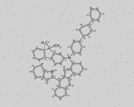 CC1(C)c2ccccc2-c2ccc(N(c3ccc(-c4ccc(-c5ccccc5)cc4)cc3)c3cccc4c3oc3c(-c5nc6ccccc6o5)c5ccccc5cc34)cc21